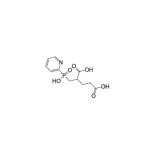 O=C(O)CCC(CP(=O)(O)c1ccccn1)C(=O)O